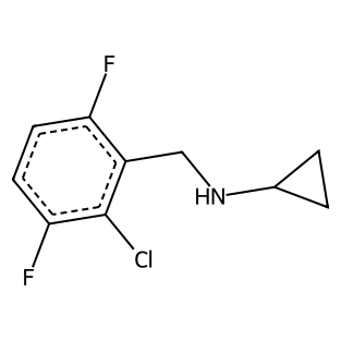 Fc1ccc(F)c(CNC2CC2)c1Cl